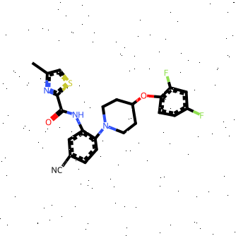 Cc1csc(C(=O)Nc2cc(C#N)ccc2N2CCC(Oc3ccc(F)cc3F)CC2)n1